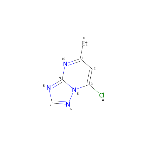 CCc1cc(Cl)n2ncnc2n1